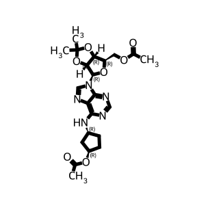 CC(=O)OC[C@H]1O[C@@H](n2cnc3c(N[C@@H]4CC[C@@H](OC(C)=O)C4)ncnc32)[C@@H]2OC(C)(C)O[C@@H]21